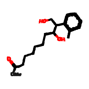 COC(=O)CCCCCCC(O)C(CO)c1ccccc1C